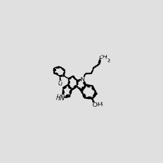 C=CCCCn1c2ccc(O)cc2c2c3c[nH]cc3c(-c3ccccc3Cl)cc21